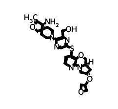 C[C@@H]1OCC2(CCN(c3ncc(Sc4ccnc5c4OC[C@@H]4C[C@H](OC6COC6)CN54)nc3CO)CC2)[C@@H]1N